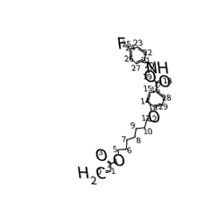 C=CC(=O)OCCCCCCCOc1ccc(C(=O)ONc2ccc(F)cc2)cc1